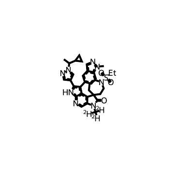 [2H]C([2H])([2H])N1C(=O)C2(CCCN(S(=O)(=O)CC)CC2)c2c1cnc1[nH]c(-c3cnn(C(C)C4CC4)c3)c(-c3ccc4c(cnn4C)c3)c21